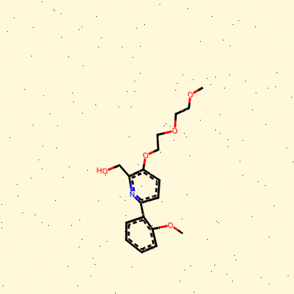 COCCOCCOc1ccc(-c2ccccc2OC)nc1CO